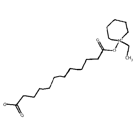 CC[N+]1(OC(=O)CCCCCCCCCCC(=O)[O-])CCCCC1